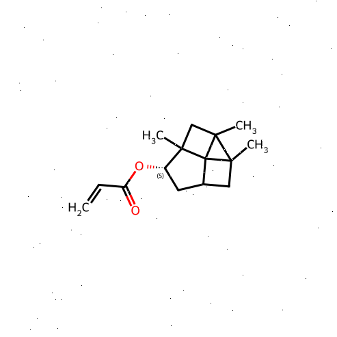 C=CC(=O)O[C@H]1CC2CC3(C)C4(C)CC1(C)C234